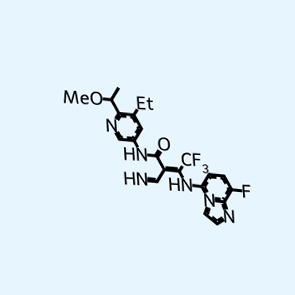 CCc1cc(NC(=O)/C(C=N)=C(/Nc2ccc(F)c3nccn23)C(F)(F)F)cnc1C(C)OC